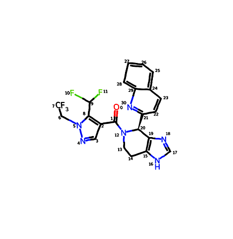 O=C(c1cnn(CC(F)(F)F)c1C(F)F)N1CCc2[nH]cnc2[C@@H]1c1ccc2ccccc2n1